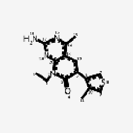 CCn1c(=O)c(-c2cscc2C)cc2c(C)nc(N)nc21